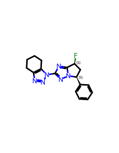 F[C@H]1C[C@@H](c2ccccc2)n2nc(-n3nnc4c3CCCC4)nc21